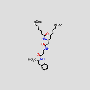 CCCCCCCCCCCCCCCC(=O)NC(CCCCCCCCCCCCCCC)CC(=O)NCCC(=O)N[C@@H](Cc1ccccc1)C(=O)O